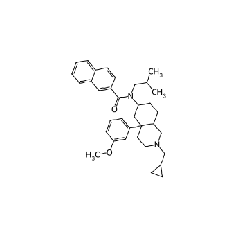 COc1cccc(C23CCN(CC4CC4)CC2CCC(N(CC(C)C)C(=O)c2ccc4ccccc4c2)C3)c1